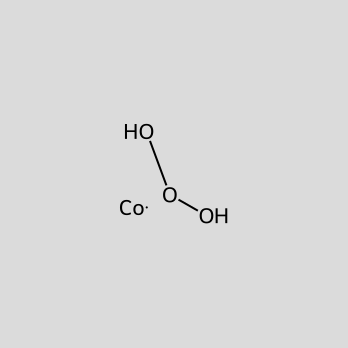 OOO.[Co]